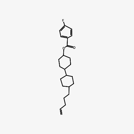 C=CCCCC1CCC(C2CCC(OC(=O)c3ccc(F)cc3)CC2)CC1